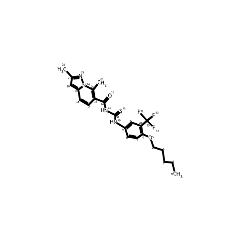 CCCCCOc1ccc(NC(=S)NC(=O)c2ccc3cc(C)nn3c2C)cc1C(F)(F)F